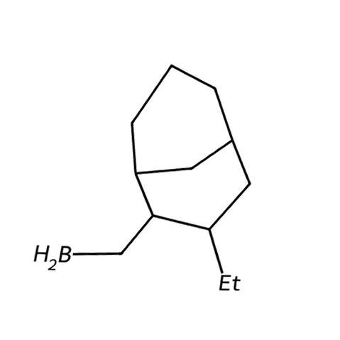 BCC1C(CC)CC2CCCC1C2